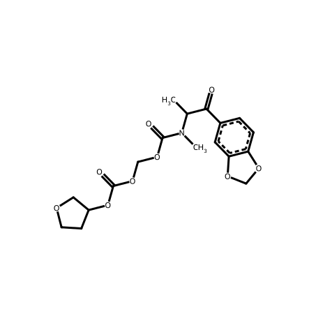 CC(C(=O)c1ccc2c(c1)OCO2)N(C)C(=O)OCOC(=O)OC1CCOC1